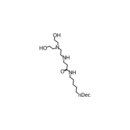 CCCCCCCCCCCCCCCNC(=O)CCNCCN(CCO)CCO